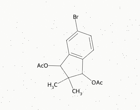 CC(=O)OC1c2ccc(Br)cc2C(OC(C)=O)C1(C)C